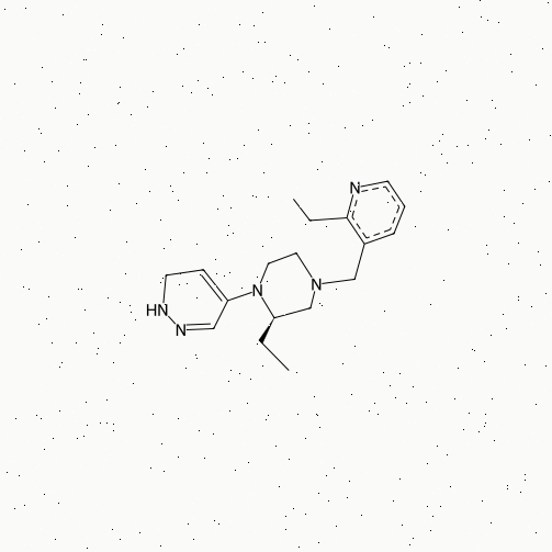 CCc1ncccc1CN1CCN(C2=CCNN=C2)[C@H](CC)C1